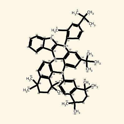 Cc1cc(C(C)(C)C)ccc1N1c2cc(C(C)(C)C)cc3c2B(c2ccc4c(c2N3c2ccc3c(c2)C(C)(C)CCC3(C)C)C(C)(C)CCC4(C)C)c2c1sc1ccccc21